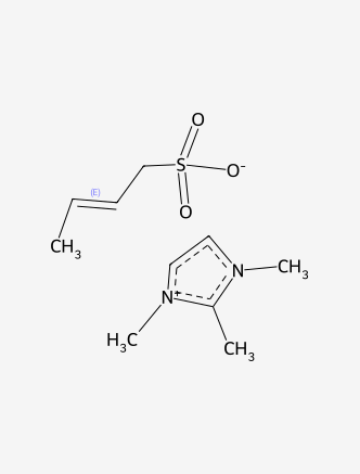 C/C=C/CS(=O)(=O)[O-].Cc1n(C)cc[n+]1C